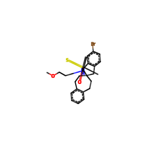 COCCN1C(=O)C2(NC1=S)c1cc(Br)ccc1CC21CCc2ccccc2CC1